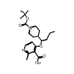 CCCC(Oc1ccnc(C)c1C(=O)O)C1CCN(C(=O)OC(C)(C)C)CC1